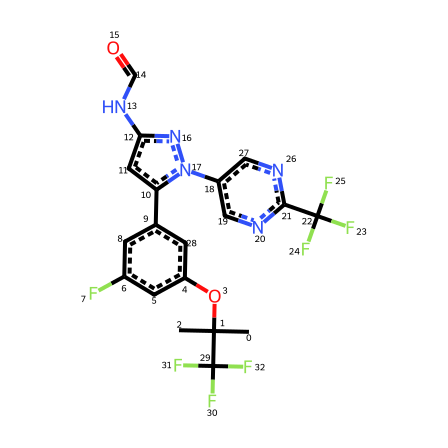 CC(C)(Oc1cc(F)cc(-c2cc(NC=O)nn2-c2cnc(C(F)(F)F)nc2)c1)C(F)(F)F